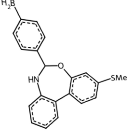 Bc1ccc(C2Nc3ccccc3-c3ccc(SC)cc3O2)cc1